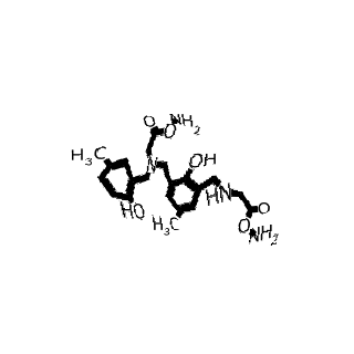 Cc1ccc(O)c(CN(CC(=O)ON)Cc2cc(C)cc(CNCC(=O)ON)c2O)c1